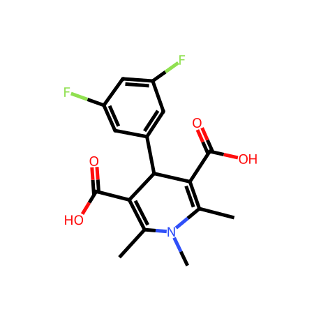 CC1=C(C(=O)O)C(c2cc(F)cc(F)c2)C(C(=O)O)=C(C)N1C